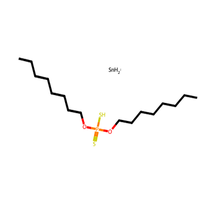 CCCCCCCCOP(=S)(S)OCCCCCCCC.[SnH2]